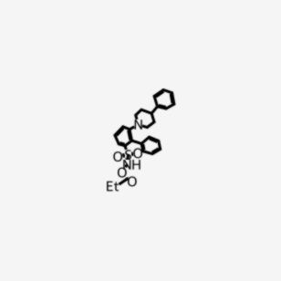 CCC(=O)ONS(=O)(=O)c1cccc(N2CCC(c3ccccc3)CC2)c1-c1ccccc1